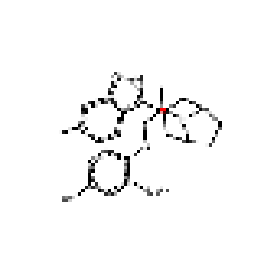 CNc1cc(C(C)=O)ccc1OCC(C)N1C2CCC1CC(c1noc3cc(F)ccc13)C2